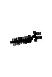 O=C(O)C(CCC(F)(F)C(F)(F)C(F)(F)C(F)(F)C(F)(F)C(F)(F)C(F)(F)C(F)(F)C(F)(F)F)C(=O)O